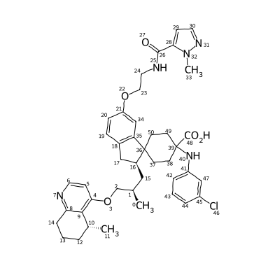 C[C@@H](COc1ccnc2c1[C@H](C)CCC2)C[C@H]1Cc2ccc(OCCNC(=O)c3ccnn3C)cc2C12CCC(Nc1cccc(Cl)c1)(C(=O)O)CC2